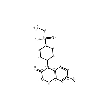 CCS(=O)(=O)N1CCC(N2C(=O)OCc3cc(Cl)ccc32)CC1